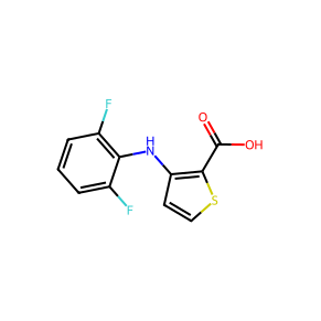 O=C(O)c1sccc1Nc1c(F)cccc1F